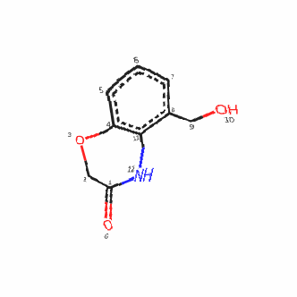 O=C1COc2cccc(CO)c2N1